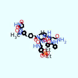 CCOP(=O)(OCC)C(=O)c1ccc2[nH]c(C(=O)N[C@H]3CN(C(=O)C[C@H]4CC[C@@H](Cc5ccc6c(c5)n(C)c(=O)n6[C@H]5CCC(=O)NC5=O)CC4)CC[C@H]4CC[C@@H](C(=O)N[C@@H](CCC(N)=O)C(=O)NC(c5ccccc5)c5ccccc5)N4C3=O)cc2c1